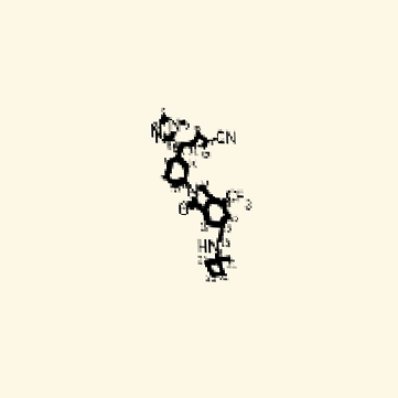 Cn1cnnc1[C@@H](c1cccc(N2Cc3c(cc(CNC4(C)CCC4)cc3C(F)(F)F)C2=O)c1)[C@H]1C[C@H](C#N)C1